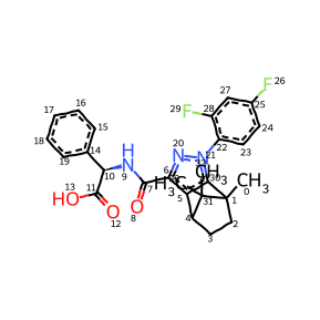 CC12CCC(c3c(C(=O)N[C@@H](C(=O)O)c4ccccc4)nn(-c4ccc(F)cc4F)c31)C2(C)C